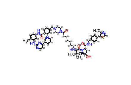 Cc1ccc(NC(=O)c2ccc(CN3CCN(C(=O)CCCCCCN[C@H](C(=O)N4C[C@H](O)C[C@H]4C(=O)NCc4ccc(-c5scnc5C)cc4)C(C)(C)C)CC3)cc2)cc1Nc1nccc(-c2cccnc2)n1